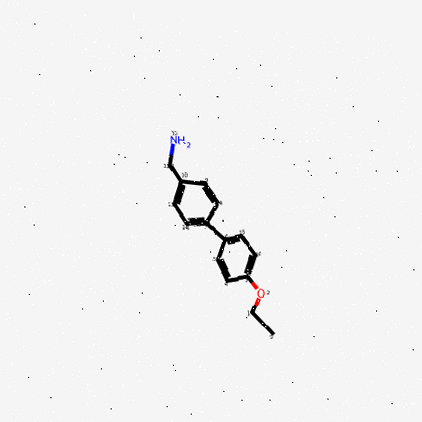 CCOc1ccc(-c2ccc(CN)cc2)cc1